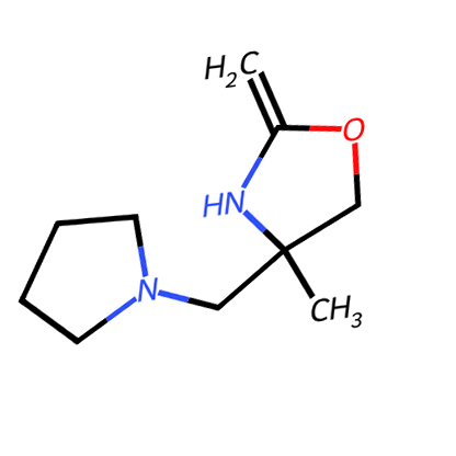 C=C1NC(C)(CN2CCCC2)CO1